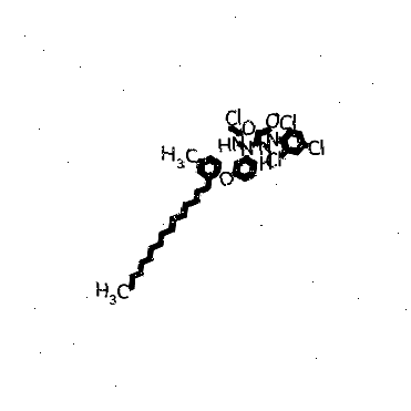 CCCCCCCCCCCCCCCCc1cc(C)ccc1Oc1cccc(N(NC(=O)CCl)c2cc(=O)n(-c3c(Cl)cc(Cl)cc3Cl)[nH]2)c1